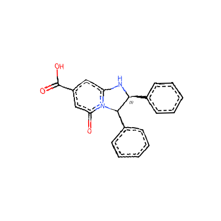 O=C(O)c1cc2n(c(=O)c1)C(c1ccccc1)[C@H](c1ccccc1)N2